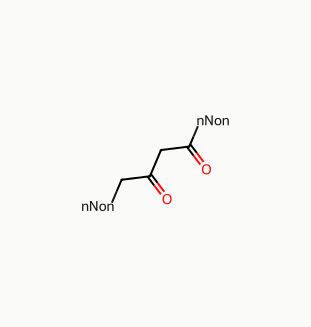 CCCCCCCCCCC(=O)CC(=O)CCCCCCCCC